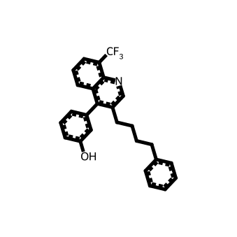 Oc1cccc(-c2c(CCCCc3ccccc3)cnc3c(C(F)(F)F)cccc23)c1